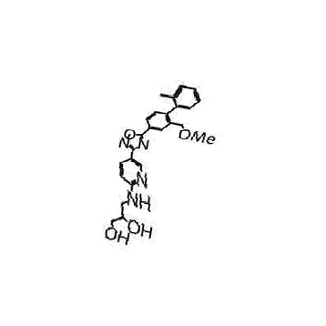 COCc1cc(-c2nc(-c3ccc(NCC(O)CO)nc3)no2)ccc1-c1ccccc1C